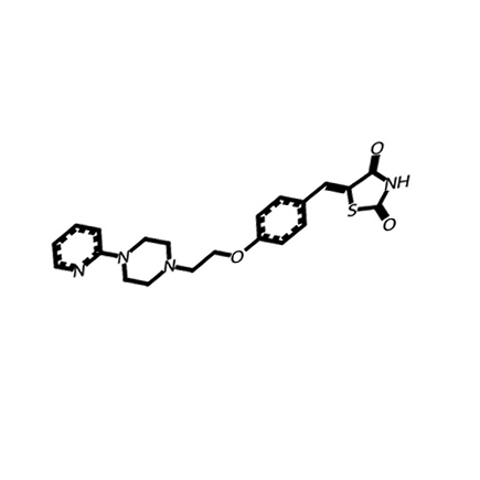 O=C1NC(=O)C(=Cc2ccc(OCCN3CCN(c4ccccn4)CC3)cc2)S1